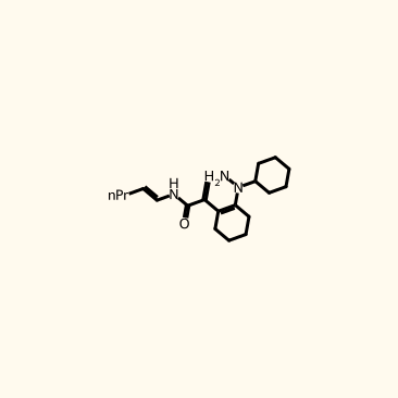 C=C(C(=O)N/C=C/CCC)C1=C(N(N)C2CCCCC2)CCCC1